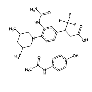 CC(=O)Nc1ccc(O)cc1.CC1CC(C)CN(c2ccc(C(CC(=O)O)C(F)(F)F)cc2NC(N)=O)C1